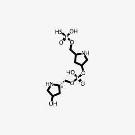 O=P(O)(S)OCC1CC(OP(=O)(O)OC[C@@H]2CC(O)CN2)CN1